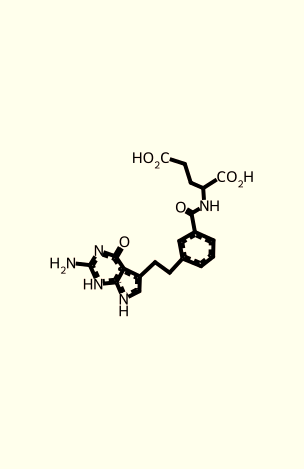 Nc1nc(=O)c2c(CCc3cccc(C(=O)NC(CCC(=O)O)C(=O)O)c3)c[nH]c2[nH]1